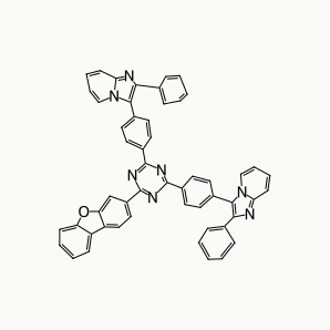 c1ccc(-c2nc3ccccn3c2-c2ccc(-c3nc(-c4ccc(-c5c(-c6ccccc6)nc6ccccn56)cc4)nc(-c4ccc5c(c4)oc4ccccc45)n3)cc2)cc1